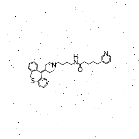 O=C(CCCCc1cccnc1)NCCCCN1CCC(=C2c3ccccc3CSc3ccccc32)CC1